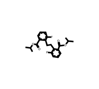 CC(C)OC(=O)c1cccc(F)c1[CH]Cc1c(F)cccc1C(=O)OC(C)C